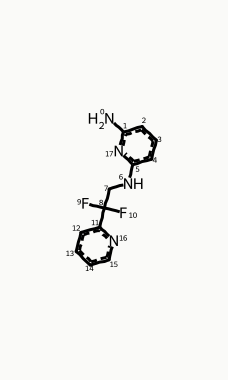 Nc1cccc(NCC(F)(F)c2ccccn2)n1